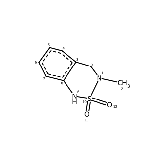 CN1Cc2ccccc2NS1(=O)=O